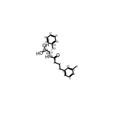 Cc1cccc(CCCC(=O)N[C@@H](Cc2ccccc2)B(O)O)c1